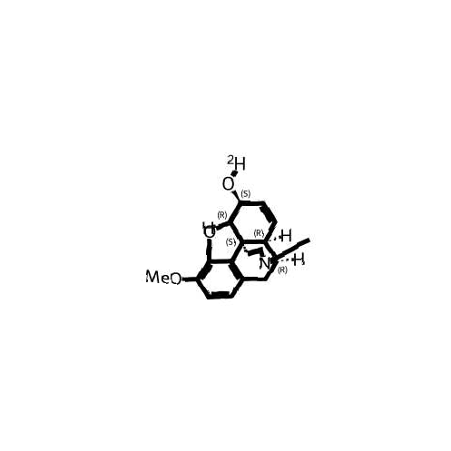 [2H]O[C@H]1C=C[C@H]2[C@H]3Cc4ccc(OC)c5c4[C@@]2(CCN3C)[C@H]1O5